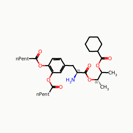 CCCCCC(=O)Oc1ccc(C[C@H](N)C(=O)O[C@@H](C)C(C)OC(=O)C2CCCCC2)cc1OC(=O)CCCCC